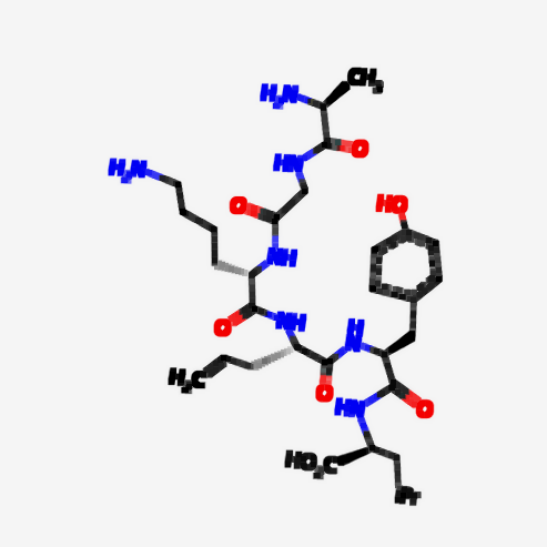 C=CC[C@H](NC(=O)[C@H](CCCCN)NC(=O)CNC(=O)[C@H](C)N)C(=O)N[C@@H](Cc1ccc(O)cc1)C(=O)N[C@@H](CC(C)C)C(=O)O